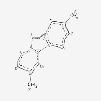 Cc1ccc2c(c1)Cc1ccc(C)cc1-2